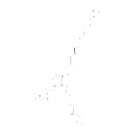 CCCCCCCCCCCCCCN1C=CN(CCCC)C1CCCCCCCC